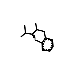 CC(C)C1=Nc2ccccc2CC1C